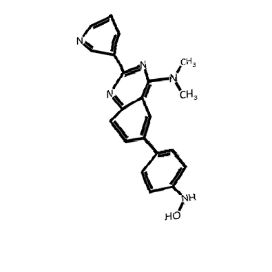 CN(C)c1nc(-c2cccnc2)nc2ccc(-c3ccc(NO)cc3)cc12